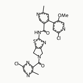 COc1cnc(Cl)cc1-c1cc(C)ncc1C(=O)Nc1nc2c(s1)CN(C(=O)c1nc(Cl)cnc1C)C2